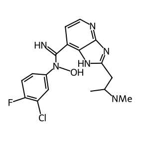 CNC(C)Cc1nc2nccc(C(=N)N(O)c3ccc(F)c(Cl)c3)c2[nH]1